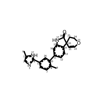 Cc1cnc(-c2ccc(C)c(-c3ccc4c(c3)NC(=O)C43C=COCC3)c2)[nH]1